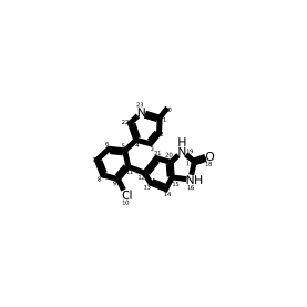 Cc1ccc(-c2cccc(Cl)c2-c2ccc3[nH]c(=O)[nH]c3c2)cn1